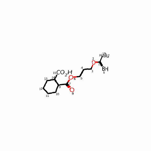 B=C(OCCCOC(=O)C1CCCCC1C(=O)O)C(C)CC